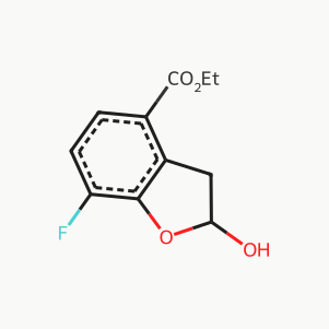 CCOC(=O)c1ccc(F)c2c1CC(O)O2